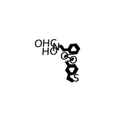 O=CN(O)CCc1ccccc1S(=O)(=O)Cc1ccc2sccc2c1